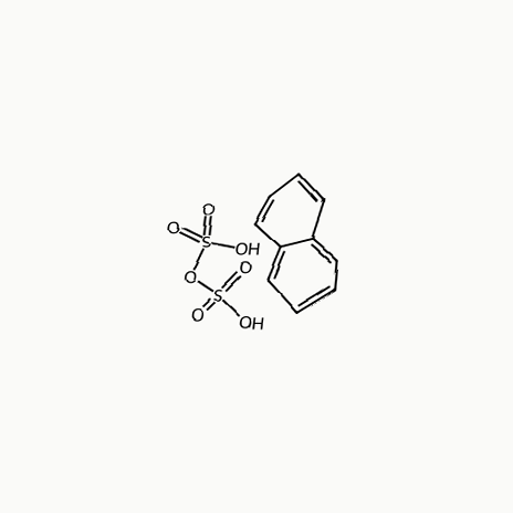 O=S(=O)(O)OS(=O)(=O)O.c1ccc2ccccc2c1